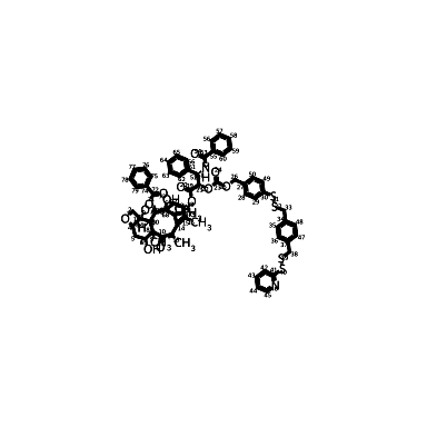 CC(=O)O[C@@]12COC1C[C@H](O)[C@@]1(C)C(=O)[C@H](C)C3=C(C)[C@@H](OC(=O)[C@H](OC(=O)OCc4ccc(SSCc5ccc(CSSc6ccccn6)cc5)cc4)[C@@H](NC(=O)c4ccccc4)c4ccccc4)C[C@@](O)([C@@H](OC(=O)c4ccccc4)[C@@H]12)C3(C)C